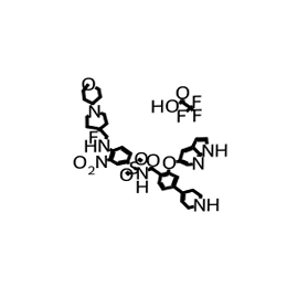 O=C(NS(=O)(=O)c1ccc(NCC2(F)CCN(C3CCOCC3)CC2)c([N+](=O)[O-])c1)c1ccc(C2=CCNCC2)cc1Oc1cnc2[nH]ccc2c1.O=C(O)C(F)(F)F